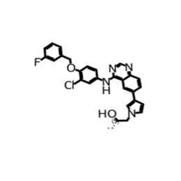 [CH2][C@H](O)Cn1ccc(-c2ccc3ncnc(Nc4ccc(OCc5cccc(F)c5)c(Cl)c4)c3c2)c1